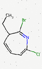 CCC1C=CC=C(Cl)N=C1Br